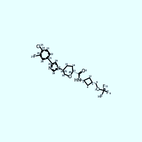 O=C(N[C@H]1C[C@@H](COC(F)(F)F)C1)[C@H]1CC[C@H](n2cnc(-c3ccc(Cl)c(F)c3)c2)CO1